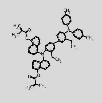 C=C(C)C(=O)Oc1cccc2c(N(c3ccc(-c4ccc(N(c5ccc(C)cc5)c5ccc(C)cc5)c(CC(F)(F)F)c4)cc3CC(F)(F)F)c3cccc4c(OC(=O)C(=C)C)cccc34)cccc12